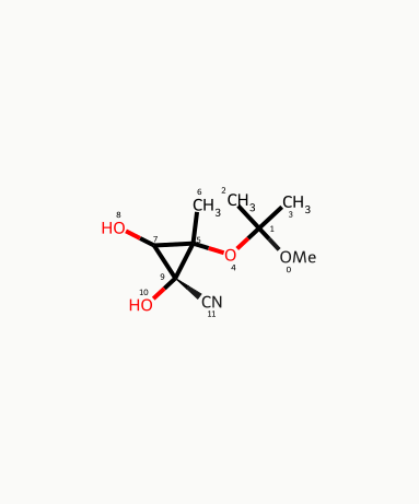 COC(C)(C)OC1(C)C(O)[C@]1(O)C#N